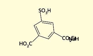 CCOC(=O)c1cc(C(=O)O)cc(S(=O)(=O)O)c1.[NaH]